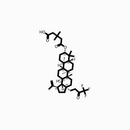 C=C(C)[C@@H]1CC[C@]2(CCC(=O)C(F)(F)F)CC[C@]3(C)[C@H](CC[C@@H]4[C@@]5(C)CC[C@H](OC(=O)CC(C)(C)CC(=O)O)C(C)(C)[C@@H]5CC[C@]43C)[C@@H]12